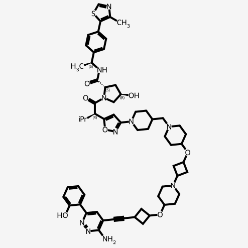 Cc1ncsc1-c1ccc([C@H](C)NC(=O)[C@@H]2C[C@@H](O)CN2C(=O)[C@@H](c2cc(N3CCC(CN4CCC(OC5CC(N6CCC(OC7CC(C#Cc8cc(-c9ccccc9O)nnc8N)C7)CC6)C5)CC4)CC3)no2)C(C)C)cc1